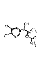 C[C@@H](OC(N)=O)[C@H](O)c1ccc(Cl)c(Cl)c1